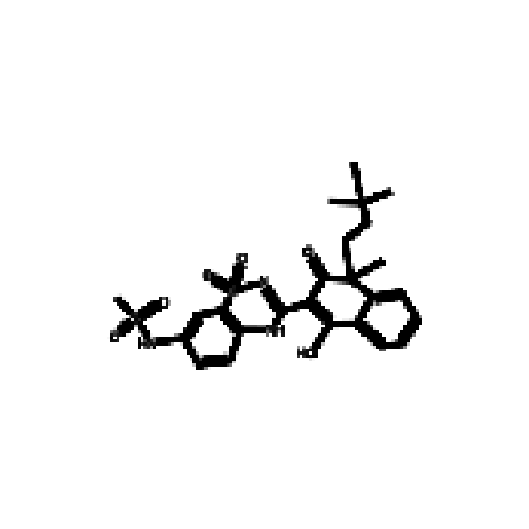 CC(C)(C)CCC1(C)C(=O)C(C2=NS(=O)(=O)c3cc(NS(C)(=O)=O)ccc3N2)=C(O)c2ccccc21